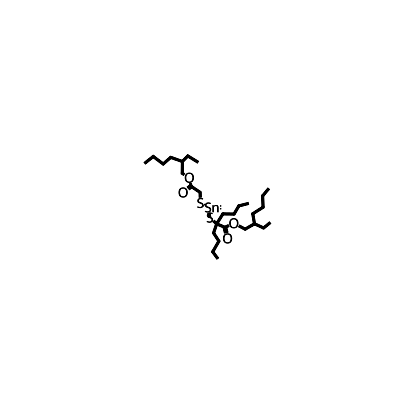 CCCCC(CC)COC(=O)C[S][Sn][S]C(CCCC)(CCCC)C(=O)OCC(CC)CCCC